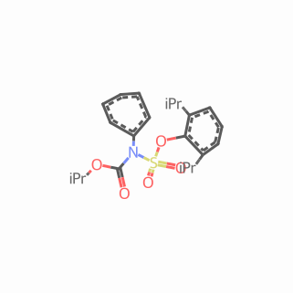 CC(C)OC(=O)N(c1ccccc1)S(=O)(=O)Oc1c(C(C)C)cccc1C(C)C